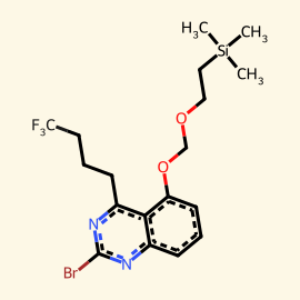 C[Si](C)(C)CCOCOc1cccc2nc(Br)nc(CCCC(F)(F)F)c12